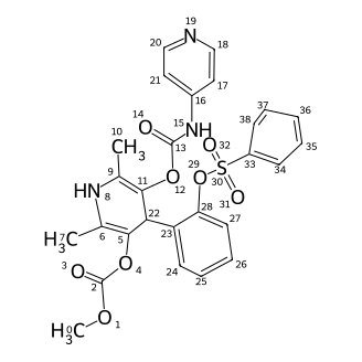 COC(=O)OC1=C(C)NC(C)=C(OC(=O)Nc2ccncc2)C1c1ccccc1OS(=O)(=O)c1ccccc1